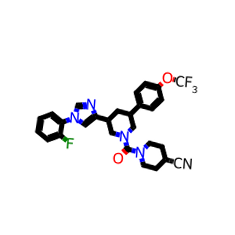 N#CC1CCN(C(=O)N2CC(c3ccc(OC(F)(F)F)cc3)CC(c3cn(-c4ccccc4F)cn3)C2)CC1